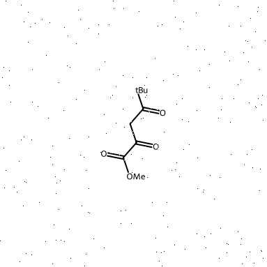 COC(=O)C(=O)CC(=O)C(C)(C)C